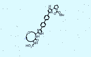 CC(C)(C)OC(=O)N1CCC[C@H]1c1nc(-c2ccc(-c3ccc(-c4c[nH]c([C@@H]5CCOC/C=C\CC[C@H](NC(=O)O)C(=O)N5)n4)cc3)cc2)c[nH]1